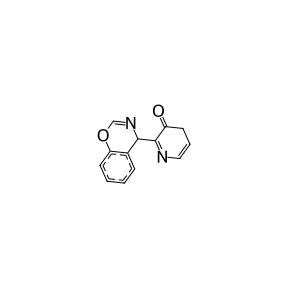 O=C1CC=CN=C1C1N=COc2ccccc21